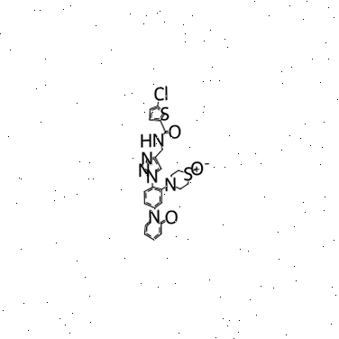 O=C(NCc1cn(-c2ccc(-n3ccccc3=O)cc2N2CC[S+]([O-])CC2)nn1)c1ccc(Cl)s1